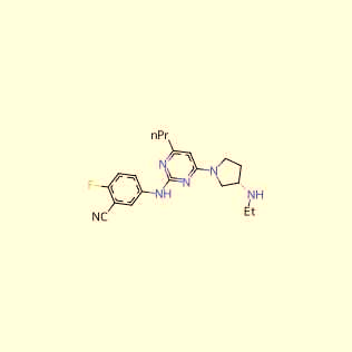 CCCc1cc(N2CC[C@H](NCC)C2)nc(Nc2ccc(F)c(C#N)c2)n1